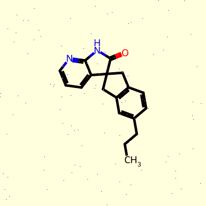 CCCc1ccc2c(c1)CC1(C2)C(=O)Nc2ncccc21